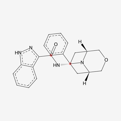 O=C(N[C@H]1C[C@H]2COC[C@@H](C1)N2Cc1ccccc1)c1n[nH]c2ccccc12